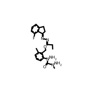 CC/C(=N/N=C1CCc2cccc(F)c21)OCc1c(C)cccc1N(N)C(=O)N(C)N